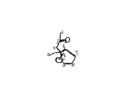 CC(=O)CC1(C)CCC=CO1